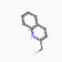 FCc1ccc2ccccc2n1